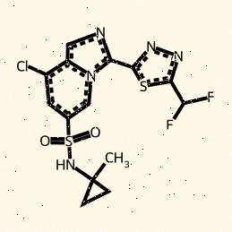 CC1(NS(=O)(=O)c2cc(Cl)c3cnc(-c4nnc(C(F)F)s4)n3c2)CC1